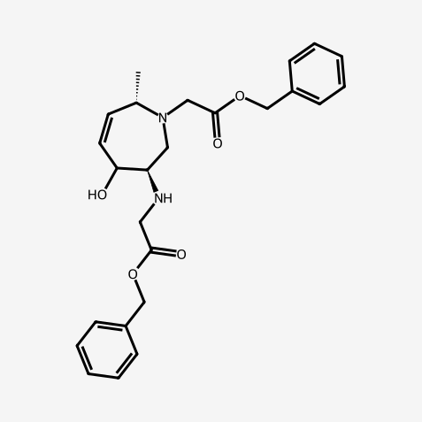 C[C@H]1C=CC(O)[C@H](NCC(=O)OCc2ccccc2)CN1CC(=O)OCc1ccccc1